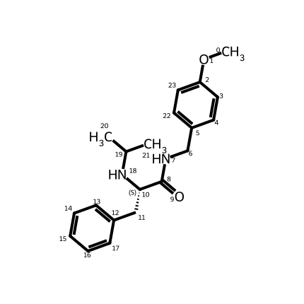 COc1ccc(CNC(=O)[C@H](Cc2ccccc2)NC(C)C)cc1